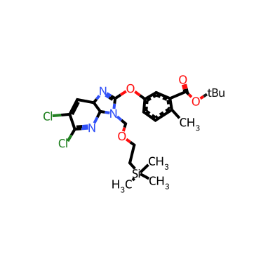 Cc1ccc(OC2=NC3C=C(Cl)C(Cl)=NC3N2COCC[Si](C)(C)C)cc1C(=O)OC(C)(C)C